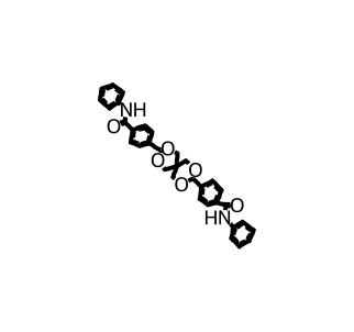 O=C(Nc1ccccc1)c1ccc(C2OCC3(CO2)COC(c2ccc(C(=O)Nc4ccccc4)cc2)OC3)cc1